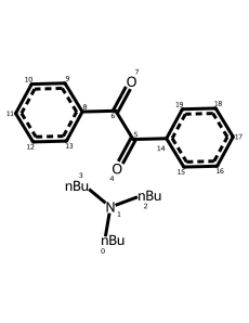 CCCCN(CCCC)CCCC.O=C(C(=O)c1ccccc1)c1ccccc1